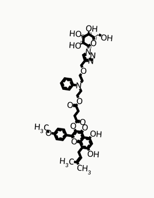 COc1ccc(-c2oc3c(CC=C(C)C)c(O)cc(O)c3c(=O)c2OC(=O)CCC(=O)OCCN(CCOCc2cn([C@H]3O[C@@H](CO)[C@H](O)[C@@H](O)[C@@H]3O)nn2)c2ccccc2)cc1